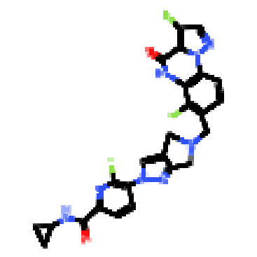 O=C(NC1CC1)c1ccc(-n2cc3c(n2)CN(Cc2ccc4c([nH]c(=O)c5c(F)cnn54)c2F)C3)c(F)n1